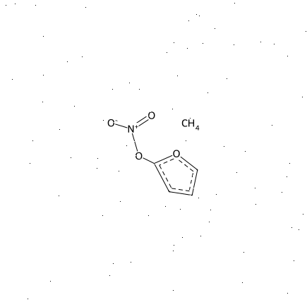 C.O=[N+]([O-])Oc1ccco1